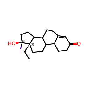 CC[C@]12CCC3C4CCC(=O)C=C4CCC3C1CC[C@@]2(O)I